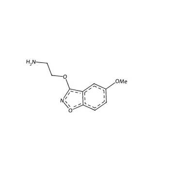 COc1ccc2onc(OCCN)c2c1